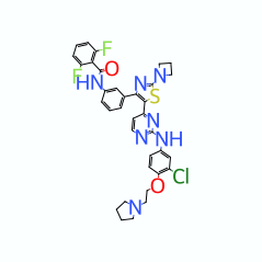 O=C(Nc1cccc(-c2nc(N3CCC3)sc2-c2ccnc(Nc3ccc(OCCN4CCCC4)c(Cl)c3)n2)c1)c1c(F)cccc1F